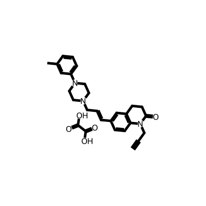 C#CCN1C(=O)CCc2cc(C=CCN3CCN(c4cccc(C)c4)CC3)ccc21.O=C(O)C(=O)O